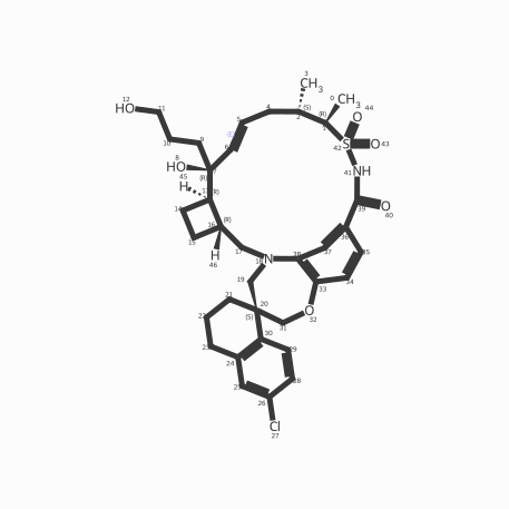 C[C@@H]1[C@@H](C)C/C=C/[C@@](O)(CCCO)[C@@H]2CC[C@H]2CN2C[C@@]3(CCCc4cc(Cl)ccc43)COc3ccc(cc32)C(=O)NS1(=O)=O